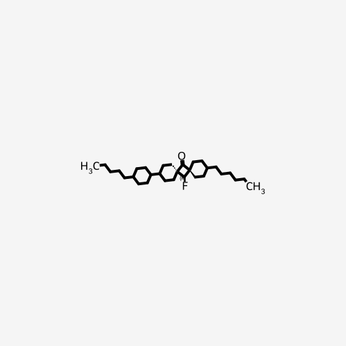 CCCCCCC1CC[C@]2(CC1)C(=O)[C@@]1(CCC(C3CCC(CCCCC)CC3)CC1)[C@@H]2F